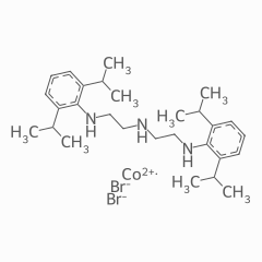 CC(C)c1cccc(C(C)C)c1NCCNCCNc1c(C(C)C)cccc1C(C)C.[Br-].[Br-].[Co+2]